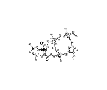 C=CC1=C(C)c2cc3[nH]c(cc4nc(cc5[nH]c(cc1n2)c(C)c5CCC(=O)NCCN(C)C)C(CCC(=O)NCCN(C)C)C4C)c(C)c3C=C